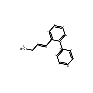 O=CC/C=C/c1ccccc1-c1ccccc1